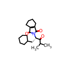 CC(C)C(=O)[C@H](CC1CCCCC1)N1C(=O)C2=C(CCCC2)C1=O